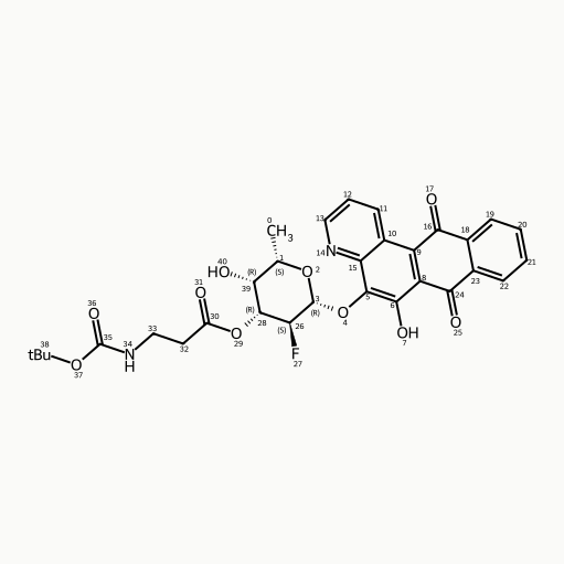 C[C@@H]1O[C@H](Oc2c(O)c3c(c4cccnc24)C(=O)c2ccccc2C3=O)[C@@H](F)[C@H](OC(=O)CCNC(=O)OC(C)(C)C)[C@@H]1O